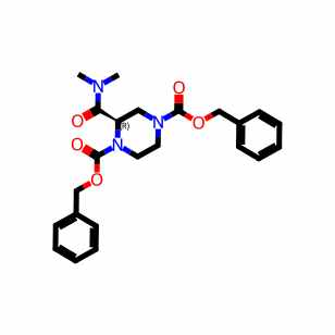 CN(C)C(=O)[C@H]1CN(C(=O)OCc2ccccc2)CCN1C(=O)OCc1ccccc1